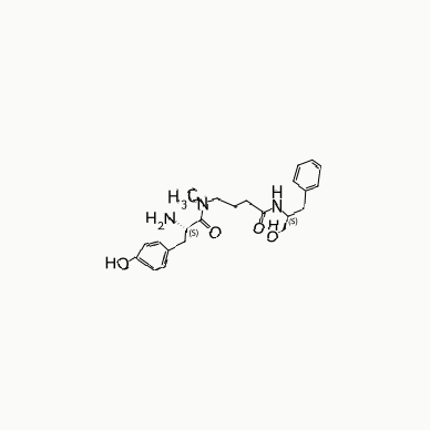 CN(CCCC(=O)N[C@H](CO)Cc1ccccc1)C(=O)[C@@H](N)Cc1ccc(O)cc1